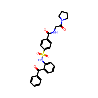 O=C(NCC(=O)N1CCCC1)c1ccc(S(=O)(=O)Nc2ccccc2C(=O)c2ccccc2)cc1